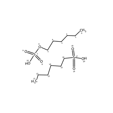 CCCCCCOS(=O)(=O)O.CCCCCCS(=O)(=O)O